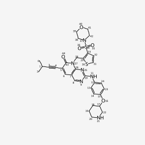 CC(C)C#Cc1cc2cnc(Nc3ccc(OC4CCCNC4)cc3)nc2n(Cc2sccc2S(=O)(=O)N2CCOCC2)c1=O